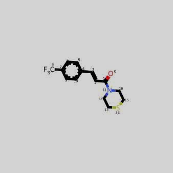 O=C(C=Cc1ccc(C(F)(F)F)cc1)N1CCSCC1